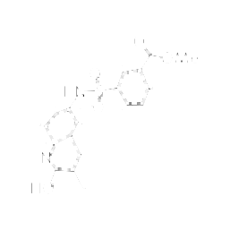 COC(=O)c1cccc(S(=O)(=O)Nc2ccc3nc(O)c(C)cc3c2)c1